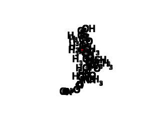 CC(C)C1=C2[C@H]3CC[C@@H]4[C@@]5(C)CC[C@H](OC(=O)[C@H]6C[C@@H](C(=O)O)C6(C)C)C(C)(C)[C@@H]5CC[C@@]4(C)[C@]3(C)CC[C@@]2([C@@H](O)CNC(=O)C(C)(C)NC(=O)c2ccc(OCCN3CCOCC3)cc2)CC1=O